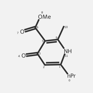 CCCc1cc(=O)c(C(=O)OC)c(C)[nH]1